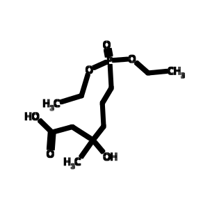 CCOP(=O)(CCCC(C)(O)CC(=O)O)OCC